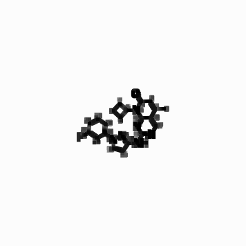 Cc1cc(=O)n(C2CCC2)c2nc(Nc3ccn(-c4cccc(F)c4)n3)ncc12